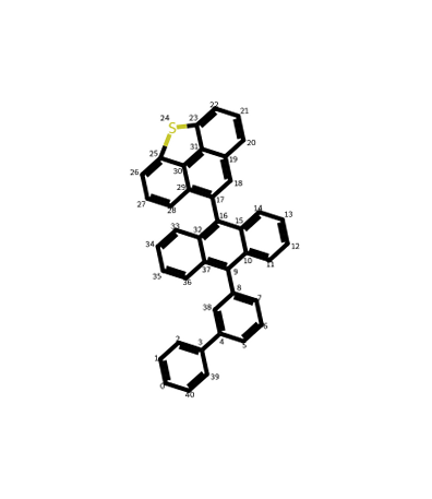 c1ccc(-c2cccc(-c3c4ccccc4c(-c4cc5cccc6sc7cccc4c7c56)c4ccccc34)c2)cc1